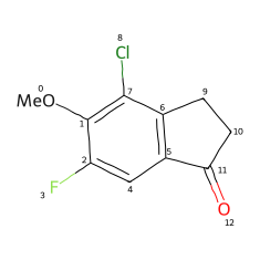 COc1c(F)cc2c(c1Cl)CCC2=O